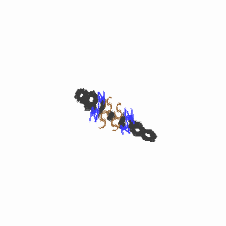 C1=CC2CC1c1cc3nc4c(nc3cc12)SC(=C1Sc2nc3cc5ccccc5cc3nc2S1)S4